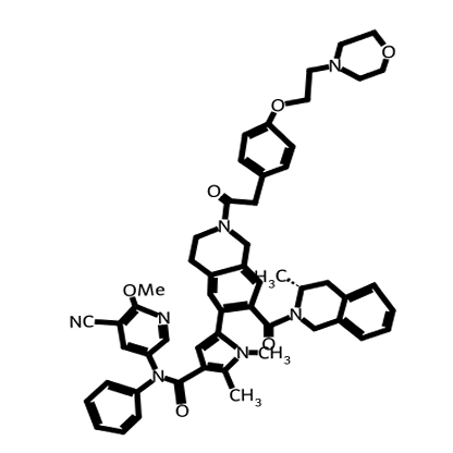 COc1ncc(N(C(=O)c2cc(-c3cc4c(cc3C(=O)N3Cc5ccccc5C[C@H]3C)CN(C(=O)Cc3ccc(OCCN5CCOCC5)cc3)CC4)n(C)c2C)c2ccccc2)cc1C#N